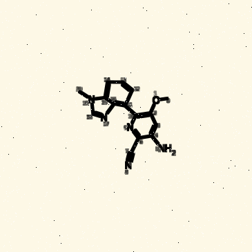 COc1cc(N)c(C#N)nc1-c1cccc2c1ncn2C